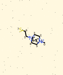 C[N+]12CC[N+](CC[S])(CC1)CC2